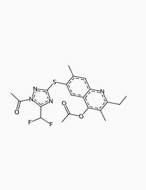 CCc1nc2cc(C)c(Sc3nc(C(F)F)n(C(C)=O)n3)cc2c(OC(C)=O)c1C